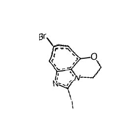 Brc1cc2c3c(c1)nc(I)n3CCO2